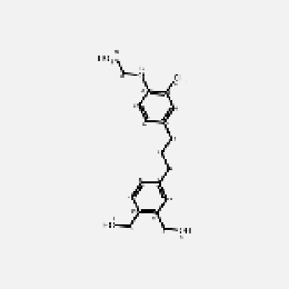 Cc1cc(CCCc2ccc(CO)c(CO)c2)ccc1OCC(=O)O